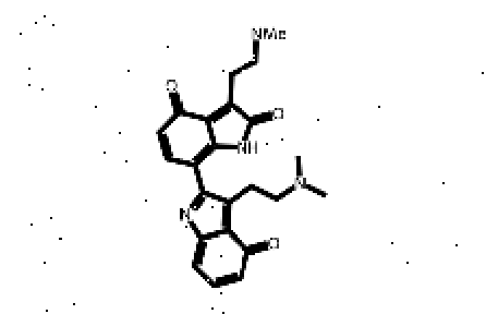 CNCCC1=C2C(=O)C=CC(C3=NC4=CC=CC(=O)C4=C3CCN(C)C)=C2NC1=O